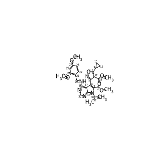 COCc1c(-c2noc(C3CC3)c2C(=O)OC)c2c(NCc3ccc(OC)cc3OC)ncnc2n1C(C)C